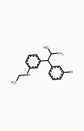 CCNc1cccc(C(c2cccc(Cl)c2)C(C)O)c1